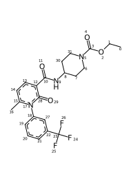 CCOC(=O)N1CCC(NC(=O)c2ccc(C)n(-c3cccc(C(F)(F)F)c3)c2=O)CC1